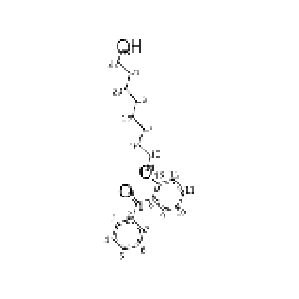 O=C(c1ccccc1)c1ccccc1OCCCCCCCCO